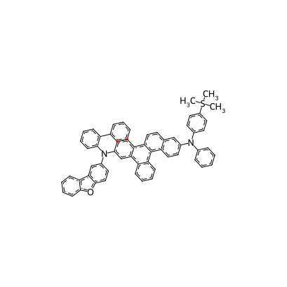 CS(C)(C)c1ccc(N(c2ccccc2)c2ccc3c(ccc4c5ccc(N(c6ccc7oc8ccccc8c7c6)c6ccccc6-c6ccccc6)cc5c5ccccc5c34)c2)cc1